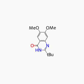 COc1cc2nc(C(C)(C)C)[nH]c(=O)c2cc1OC